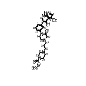 CCc1c[nH]c2ncc(-c3cccc(N4CCN(CCCN5CCN(C(=O)OC(C)(C)C)CC5)CC4=O)c3)c(Cl)c12